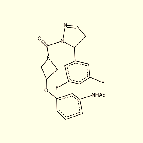 CC(=O)Nc1cccc(OC2CN(C(=O)N3N=CCC3c3cc(F)cc(F)c3)C2)c1